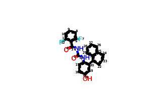 O=C(NC(=O)c1c(F)cccc1F)Nc1ccc(O)cc1-c1cccc2ccccc12